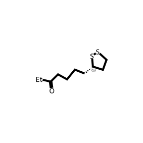 CCC(=O)CCCC[C@H]1CCSS1